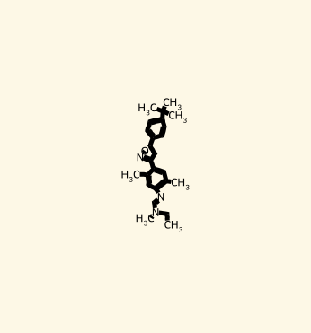 CCN(C)C=Nc1cc(C)c(C2=NOC(c3ccc(C(C)(C)C)cc3)C2)cc1C